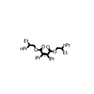 CCCC(CC)COC(=O)/C(=C(\C(=O)OCC(CC)CCC)C(C)C)C(C)C